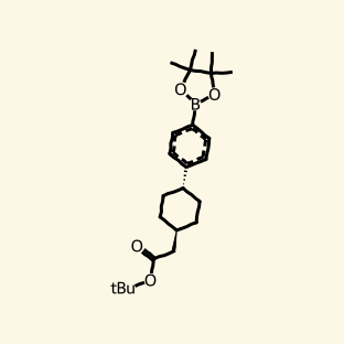 CC(C)(C)OC(=O)C[C@H]1CC[C@H](c2ccc(B3OC(C)(C)C(C)(C)O3)cc2)CC1